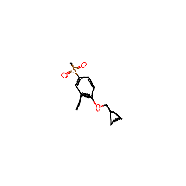 Cc1cc(S(C)(=O)=O)ccc1OCC1CC1